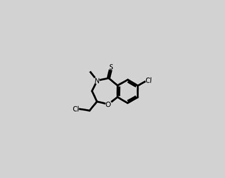 CN1CC(CCl)Oc2ccc(Cl)cc2C1=S